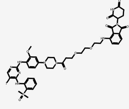 COc1cc(N2CCN(C(=O)CCOCCOCCNc3cccc4c3C(=O)N(C3CCC(=O)NC3=O)C4=O)CC2)ccc1Nc1ncc(Cl)c(Nc2ccccc2P(C)(C)=O)n1